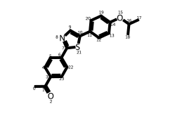 CC(=O)c1ccc(-c2ncc(-c3ccc(OC(C)C)cc3)s2)cc1